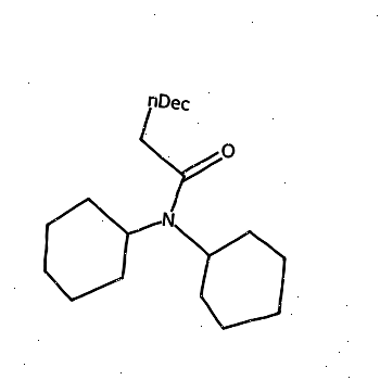 CCCCCCCCCCCC(=O)N(C1CCCCC1)C1CCCCC1